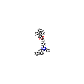 c1ccc(-c2nc(-c3ccc(-c4ccc5c(c4)Oc4cc6c(cc4O5)C(c4ccccc4)(c4ccccc4)c4ccccc4-6)cc3)nc(-c3ccc(-c4ccccc4)c4ccccc34)n2)cc1